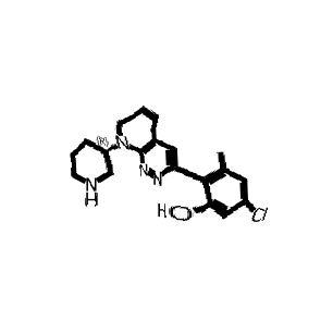 Cc1cc(Cl)cc(O)c1-c1cc2c(nn1)N([C@@H]1CCCNC1)CCC2